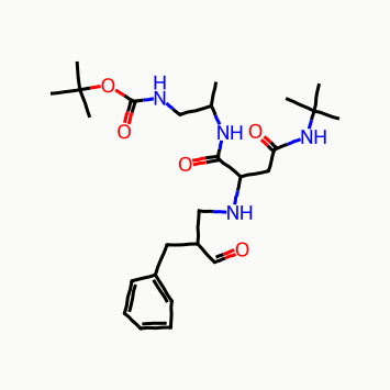 CC(CNC(=O)OC(C)(C)C)NC(=O)C(CC(=O)NC(C)(C)C)NCC(C=O)Cc1ccccc1